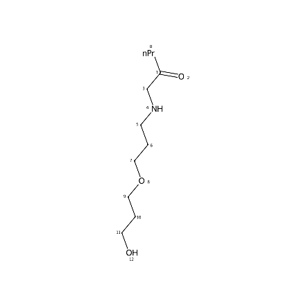 CCCC(=O)CNCCCOCCCO